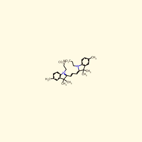 Cc1ccc2c(c1)C(C)(C)C(/C=C/C=C1\N(CCC(=O)O)c3ccc(C)cc3C1(C)C)=[N+]2CCC(=O)O